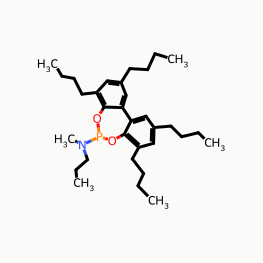 CCCCc1cc(CCCC)c2op(N(C)CCC)oc3c(CCCC)cc(CCCC)cc3c2c1